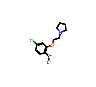 [CH2-][CH+]c1ccc(Cl)cc1OCCN1CCCC1